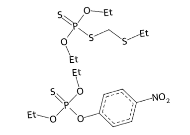 CCOP(=S)(OCC)Oc1ccc([N+](=O)[O-])cc1.CCOP(=S)(OCC)SCSCC